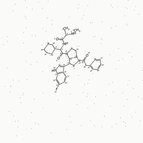 CNC(C)C(=O)NC(C(=O)N1CCC2C1C(c1c[nH]c3cc(F)ccc13)CN2C(=O)Cc1ccccc1)C1CCCCC1